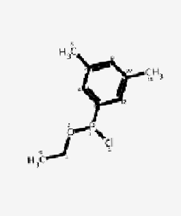 CCOP(Cl)c1cc(C)cc(C)c1